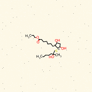 CCCCCC(C)(O)CS[C@H]1C(O)CC(O)[C@@H]1CCCCCCC(=O)OCCC